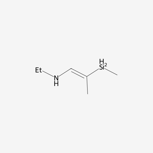 CCN/C=C(\C)[SiH2]C